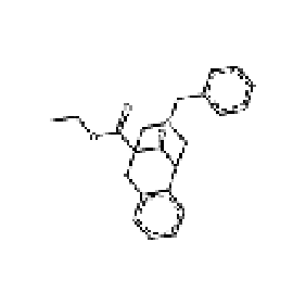 CCOC(=O)C12Cc3ccccc3C(CN(Cc3ccccc3)C1)C2=O